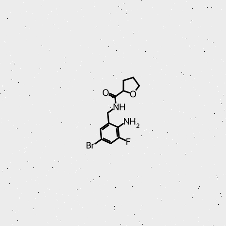 Nc1c(F)cc(Br)cc1CNC(=O)C1CCCO1